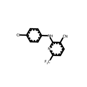 N#Cc1ccc(C(F)(F)F)nc1Nc1ccc(Cl)cc1